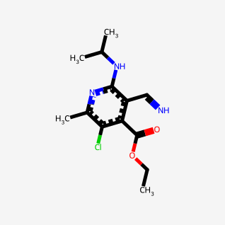 CCOC(=O)c1c(Cl)c(C)nc(NC(C)C)c1C=N